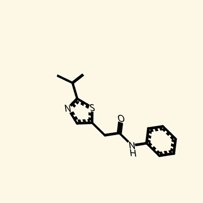 CC(C)c1ncc(CC(=O)Nc2ccccc2)s1